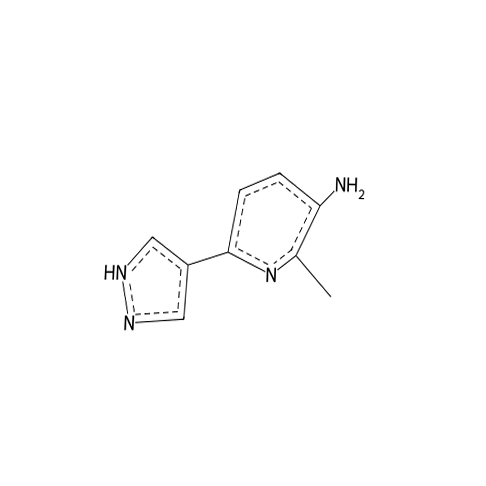 Cc1nc(-c2cn[nH]c2)ccc1N